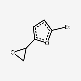 CCc1ccc(C2CO2)o1